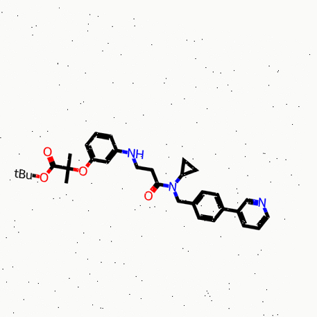 CC(C)(C)OC(=O)C(C)(C)Oc1cccc(NCCC(=O)N(Cc2ccc(-c3cccnc3)cc2)C2CC2)c1